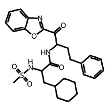 CS(=O)(=O)NC(CC1CCCCC1)C(=O)NC(CCc1ccccc1)C(=O)c1nc2ccccc2o1